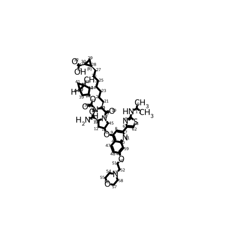 CC(C)Nc1nc(-c2cc(OC3C[C@@H](C(N)=O)N(C(=O)[C@H](CCCCCCC[C@@H]4C[C@@H]4C(=O)O)NC(=O)O[C@H]4C[C@H]5C[C@@]5(C)C4)C3)c3ccc(OCCN4CCOCC4)cc3n2)cs1